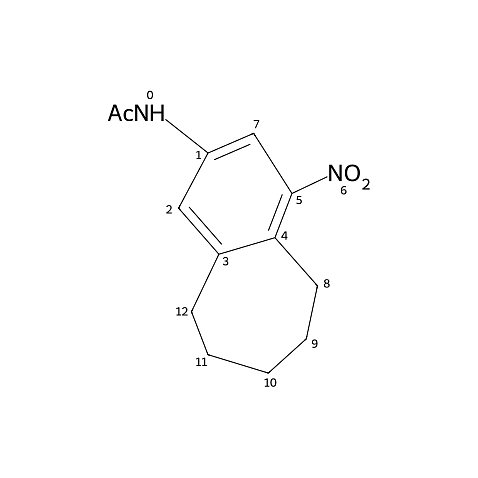 CC(=O)Nc1cc2c(c([N+](=O)[O-])c1)CCCCC2